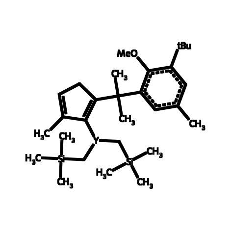 COc1c(C(C)(C)C)cc(C)cc1C(C)(C)C1=[C]([Y]([CH2][Si](C)(C)C)[CH2][Si](C)(C)C)C(C)=CC1